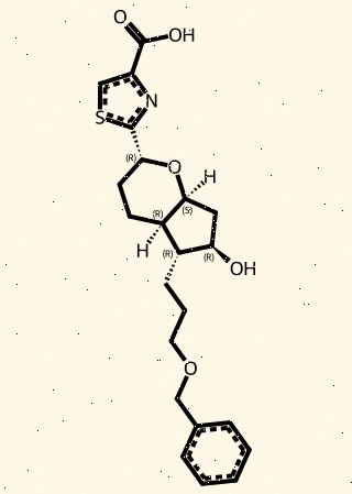 O=C(O)c1csc([C@H]2CC[C@@H]3[C@@H](CCCOCc4ccccc4)[C@H](O)C[C@@H]3O2)n1